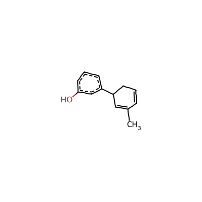 CC1=CC(c2cccc(O)c2)CC=C1